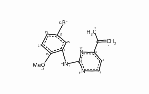 C=C(C)c1ccnc(Nc2cc(Br)ccc2OC)n1